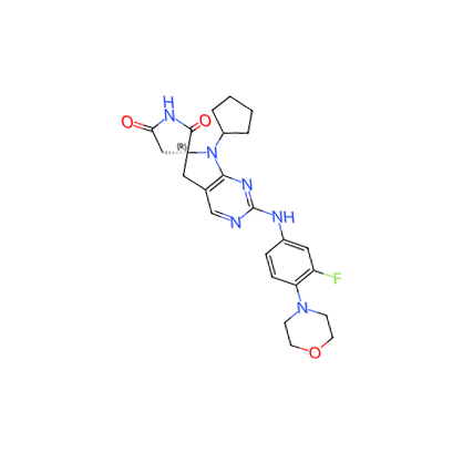 O=C1C[C@]2(Cc3cnc(Nc4ccc(N5CCOCC5)c(F)c4)nc3N2C2CCCC2)C(=O)N1